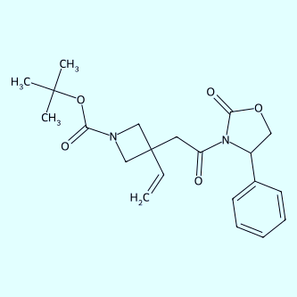 C=CC1(CC(=O)N2C(=O)OCC2c2ccccc2)CN(C(=O)OC(C)(C)C)C1